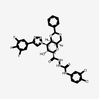 O=C(NNC(=S)Nc1ccc(Cl)c(Cl)c1)[C@@H]1O[C@@H]2COC(c3ccccc3)O[C@@H]2[C@H](n2cc(-c3cc(F)c(F)c(F)c3)nn2)[C@H]1O